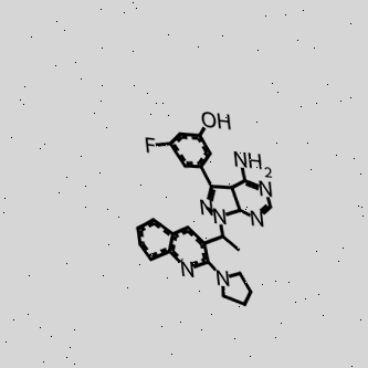 CC(c1cc2ccccc2nc1N1CCCC1)N1N=C(c2cc(O)cc(F)c2)C2C(N)=NC=NC21